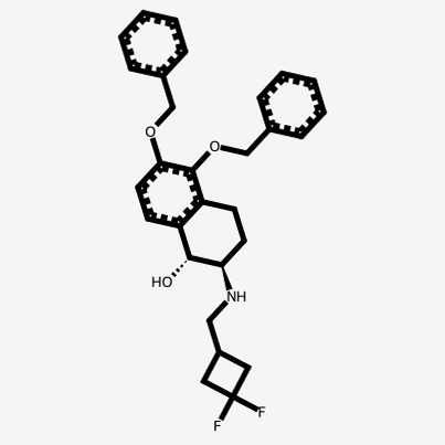 O[C@@H]1c2ccc(OCc3ccccc3)c(OCc3ccccc3)c2CC[C@H]1NCC1CC(F)(F)C1